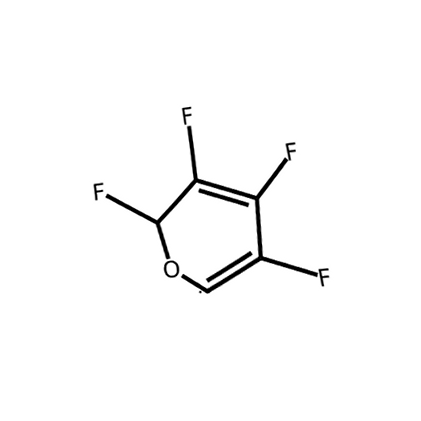 FC1=[C]OC(F)C(F)=C1F